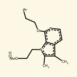 COCCn1c(C)c(C)c2ccnc(OCCC(C)C)c21.Cl